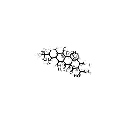 CCC(C)(C)C1CCC2C(C1C)C(O)C1C(C)C3(C)C(=O)C(C(C)O)C(C)CC3(C)C(C)C1(C)C2C